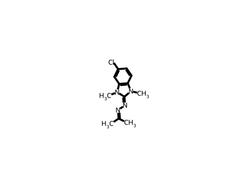 CC(C)=NN=c1n(C)c2ccc(Cl)cc2n1C